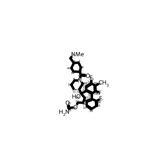 CNCC1CCC(C(=O)N2CCC[C@@H]([C@@](O)(CCCOC(N)=O)c3cc(F)c(C)c(F)c3-c3ccccc3F)C2)CC1